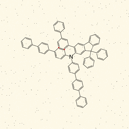 c1ccc(-c2ccc(-c3ccc(N(c4ccc(-c5ccc(-c6ccccc6)cc5)cc4)c4cc5c(cc4-c4cccc(-c6ccccc6)c4)-c4ccccc4C5(c4ccccc4)c4ccccc4)cc3)cc2)cc1